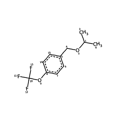 CC(C)OCc1ccc(OC(F)(F)F)cc1